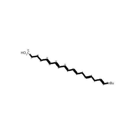 CCCCC=CCC=CCC=CC=CC=CC=CCCCC(=O)O